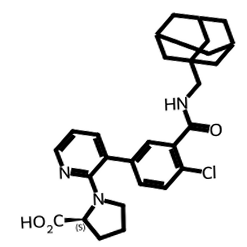 O=C(NCC12CC3CC(CC(C3)C1)C2)c1cc(-c2cccnc2N2CCC[C@H]2C(=O)O)ccc1Cl